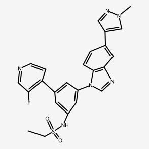 CCS(=O)(=O)Nc1cc(-c2ccncc2F)cc(-n2cnc3cc(-c4cnn(C)c4)ccc32)c1